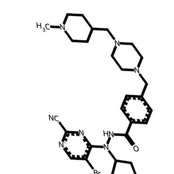 CN1CCC(CN2CCN(Cc3ccc(C(=O)NN(c4nc(C#N)ncc4Br)C4CCCC4)cc3)CC2)CC1